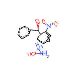 N.NO.O=C(c1ccccc1)c1ccccc1[N+](=O)[O-]